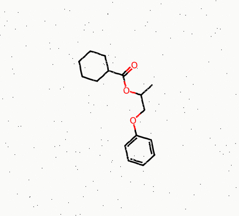 CC(COc1ccccc1)OC(=O)C1CCCCC1